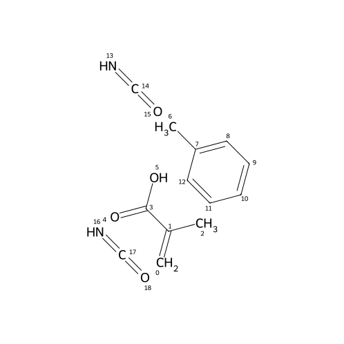 C=C(C)C(=O)O.Cc1ccccc1.N=C=O.N=C=O